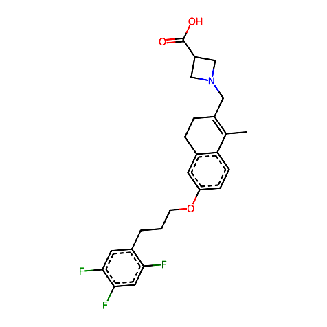 CC1=C(CN2CC(C(=O)O)C2)CCc2cc(OCCCc3cc(F)c(F)cc3F)ccc21